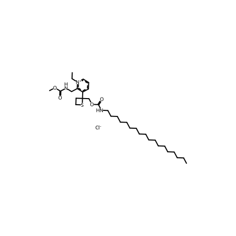 CCCCCCCCCCCCCCCCCCNC(=O)OCC1(c2ccc[n+](CC)c2CNC(=O)OC)CCS1.[Cl-]